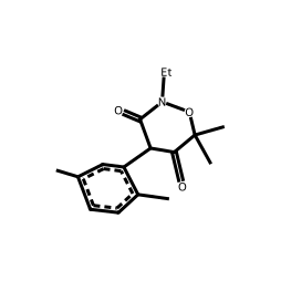 CCN1OC(C)(C)C(=O)C(c2cc(C)ccc2C)C1=O